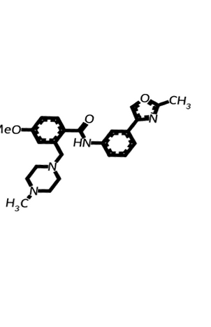 COc1ccc(C(=O)Nc2cccc(-c3coc(C)n3)c2)c(CN2CCN(C)CC2)c1